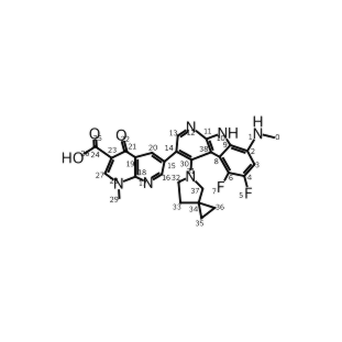 CNc1cc(F)c(F)c2c1[nH]c1ncc(-c3cnc4c(c3)c(=O)c(C(=O)O)cn4C)c(N3CCC4(CC4)C3)c12